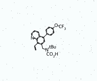 C=Cc1c(CN(C(=O)O)C(C)(C)C)cc(-c2ccc(OC(F)(F)F)cc2)c2cccnc12